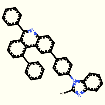 CCc1nc2ccccc2n1-c1ccc(-c2ccc3nc(-c4ccccc4)c4cccc(-c5ccccc5)c4c3c2)cc1